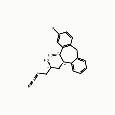 [N-]=[N+]=NC[C@@H](O)C[C@@H]1c2ccccc2Cc2ccc(F)cc2[C@@H]1O